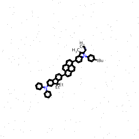 C/C=C\c1c(C)c2cc(-c3ccc4ccc5c(-c6ccc7c(c6)C(CC)(CC)c6cc(N(c8ccccc8)c8ccccc8)ccc6-7)ccc6ccc3c4c65)ccc2n1-c1ccc(C(C)(C)C)cc1